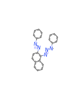 c1ccc([N]/N=N/c2c(/N=N/c3ccccc3)ccc3ccccc23)cc1